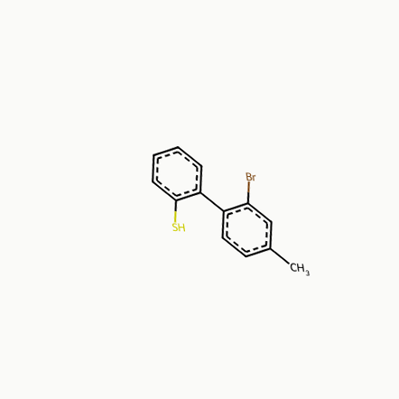 Cc1ccc(-c2ccccc2S)c(Br)c1